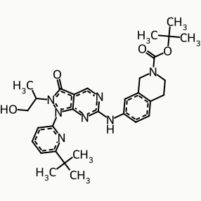 CC(CO)n1c(=O)c2cnc(Nc3ccc4c(c3)CN(C(=O)OC(C)(C)C)CC4)nc2n1-c1cccc(C(C)(C)C)n1